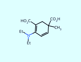 CCN(CC)C1=C(C(=O)O)CC(C)(C(=O)O)C=C1